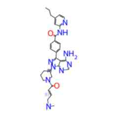 CCCc1ccnc(NC(=O)c2ccc(-c3nn([C@@H]4CCCN(C(=O)/C=C/CN(C)C)C4)c4ncnc(N)c34)cc2)c1